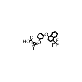 O=C(O)[C@@H]1[C@@H](I)[C@H]1OC1=CC(Oc2ccc(C(F)(F)F)c3ccccc23)=CCC1